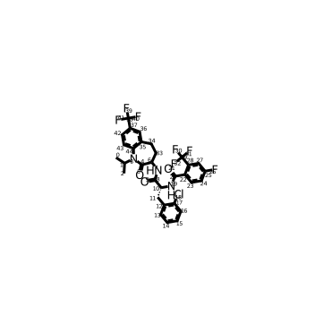 CC(C)N1C(=O)C(NC(=O)[C@@H](Cc2ccccc2Cl)NC(=O)c2ccc(F)cc2C(F)(F)F)CCc2cc(C(F)(F)F)ccc21